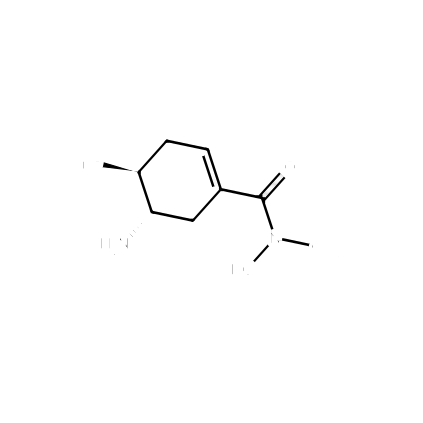 CC(C)[C@H]1CC=C(C(=O)N(C)C)C[C@@H]1N